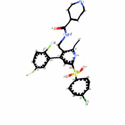 CC(=O)N1CCC(C(=O)NCc2c(-c3cc(F)ccc3F)cc(S(=O)(=O)c3ccc(Cl)cc3)nc2C)CC1